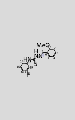 COc1ccccc1/C=N/NC(=S)Nc1cccc(F)c1